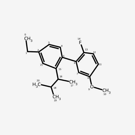 CCc1ccc(-c2cc(OC)ccc2F)c(C(C)C(C)C)c1